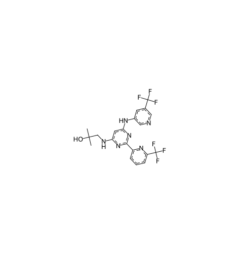 CC(C)(O)CNc1cc(Nc2cncc(C(F)(F)F)c2)nc(-c2cccc(C(F)(F)F)n2)n1